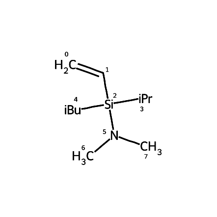 C=C[Si](C(C)C)(C(C)CC)N(C)C